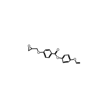 C=COc1ccc(OC(=O)c2ccc(OCC3CO3)cc2)cc1